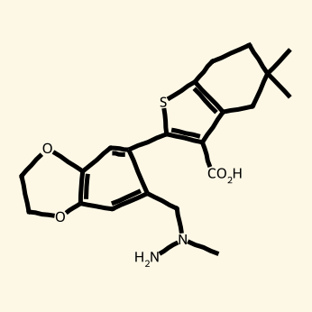 CN(N)Cc1cc2c(cc1-c1sc3c(c1C(=O)O)CC(C)(C)CC3)OCCO2